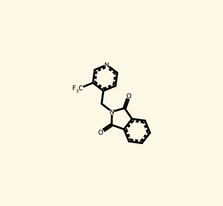 O=C1c2ccccc2C(=O)N1Cc1ccncc1C(F)(F)F